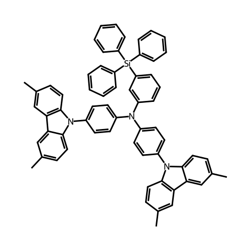 Cc1ccc2c(c1)c1cc(C)ccc1n2-c1ccc(N(c2ccc(-n3c4ccc(C)cc4c4cc(C)ccc43)cc2)c2cccc([Si](c3ccccc3)(c3ccccc3)c3ccccc3)c2)cc1